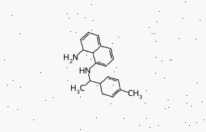 CC1=CCC(C(C)NC2=CC=CC3=CC=CC(N)C32)C=C1